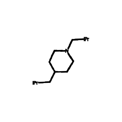 CC(C)CC1CCN(CC(C)C)CC1